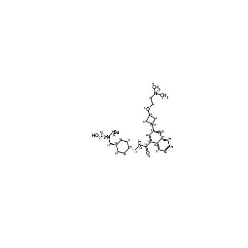 CN(C)CCOC1CN(c2cc(C(=O)NC[C@H]3CC[C@H](CN(C(=O)O)C(C)(C)C)CC3)c3ccccc3n2)C1